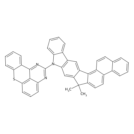 CC1(C)c2cc3c(cc2-c2c1ccc1c2ccc2ccccc21)c1ccccc1n3-c1nc2c3c(cccc3n1)Sc1ccccc1-2